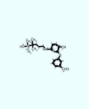 CC(C)(CCCNc1ccc(C#N)c(Oc2cccc(C=O)c2)n1)[Si](C)(C)O